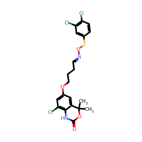 CC1(C)OC(=O)Nc2c(Cl)cc(OCCCC=NOSc3ccc(Cl)c(Cl)c3)cc21